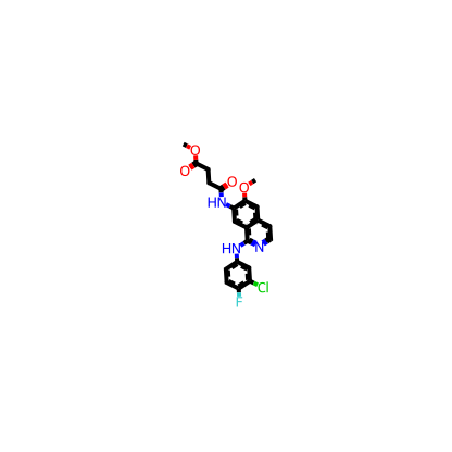 COC(=O)CCC(=O)Nc1cc2c(Nc3ccc(F)c(Cl)c3)nccc2cc1OC